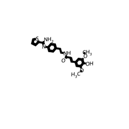 COc1cc(C=CC(=O)NCCc2ccc(N=C(N)c3cccs3)cc2)cc(OC)c1O